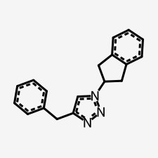 c1ccc(Cc2cn(C3Cc4ccccc4C3)nn2)cc1